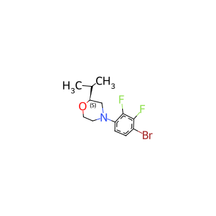 CC(C)[C@H]1CN(c2ccc(Br)c(F)c2F)CCO1